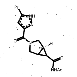 CC(=O)NC(=O)C1C2CN(C(=O)c3cc(C(C)C)[nH]n3)C[C@H]21